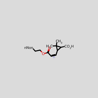 CCCCCCCCCCCOC(=O)/C=C\C1C(C(=O)O)C1(C)C